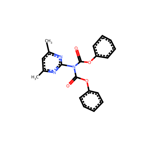 Cc1cc(C)nc(N(C(=O)Oc2ccccc2)C(=O)Oc2ccccc2)n1